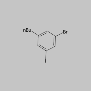 CCCCc1cc(Br)cc(I)c1